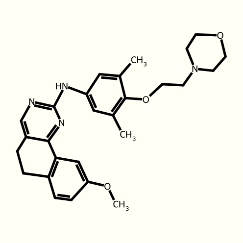 COc1ccc2c(c1)-c1nc(Nc3cc(C)c(OCCN4CCOCC4)c(C)c3)ncc1CC2